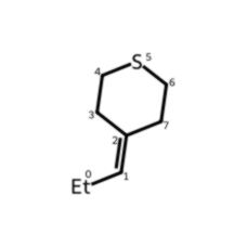 CCC=C1CCSCC1